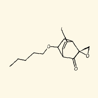 CCCCCOC1CC2C(I)=CC1C(=O)[C@]21CO1